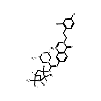 C[C@H]1[C@@H](NC(=Nc2ccc3c(=O)n(CCc4ccc(Cl)cc4Cl)cnc3c2)N2C[C@@H](C)O[C@@H](C)C2)C[C@H]2C[C@H]1C2(C)C